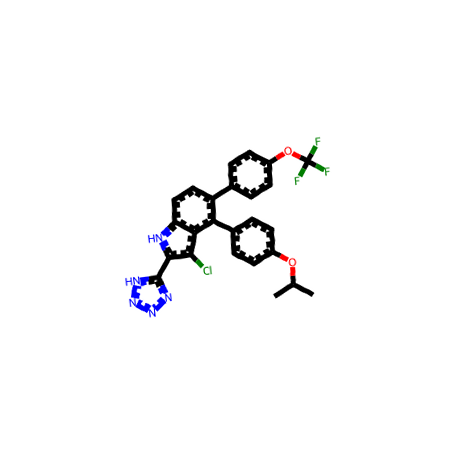 CC(C)Oc1ccc(-c2c(-c3ccc(OC(F)(F)F)cc3)ccc3[nH]c(-c4nnn[nH]4)c(Cl)c23)cc1